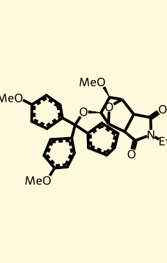 CCN1C(=O)C2C(C1=O)C1OC2[C@@H](OC(c2ccccc2)(c2ccc(OC)cc2)c2ccc(OC)cc2)[C@H]1OC